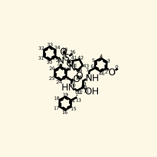 COc1cccc(CNC[C@@H](O)[C@H](Cc2ccccc2)NC(=O)c2cccc(N(c3ccccc3)S(C)(=O)=O)c2N2CCCC2=O)c1